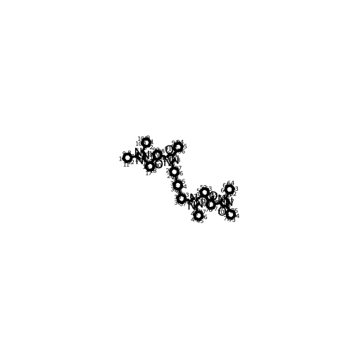 c1ccc(-c2nc(-c3ccccc3)nc(-c3cccc4oc5c(-c6nc(-c7ccc(-c8ccc(-c9cccc(-c%10nc(-c%11ccccc%11)nc(-c%11cccc%12oc%13c(-c%14nc(-c%15ccccc%15)nc%15c%14oc%14ccccc%14%15)cccc%13c%11%12)n%10)c9)cc8)cc7)nc7c6oc6ccccc67)cccc5c34)n2)cc1